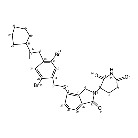 O=C1CCC(N2Cc3c(SCc4cc(Br)c(CNC5CCCCC5)cc4Br)cccc3C2=O)C(=O)N1